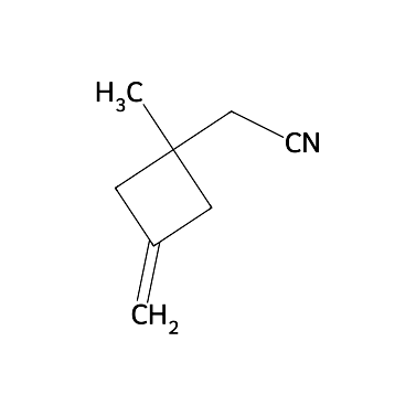 C=C1CC(C)(CC#N)C1